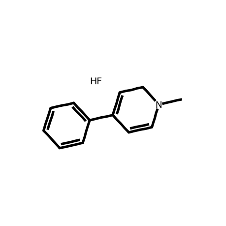 CN1C=CC(c2ccccc2)=CC1.F